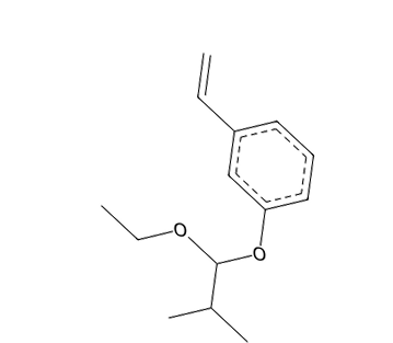 C=Cc1cccc(OC(OCC)C(C)C)c1